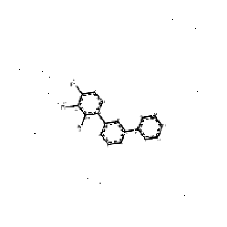 CC(C)c1ccc(-c2cccc(-c3ccccc3)c2)c(C(C)C)c1C(C)C